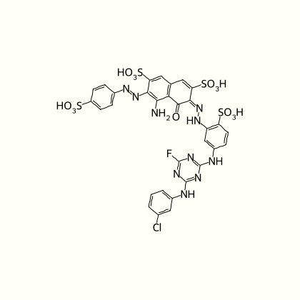 Nc1c(/N=N/c2ccc(S(=O)(=O)O)cc2)c(S(=O)(=O)O)cc2c1C(=O)/C(=N\Nc1cc(Nc3nc(F)nc(Nc4cccc(Cl)c4)n3)ccc1S(=O)(=O)O)C(S(=O)(=O)O)=C2